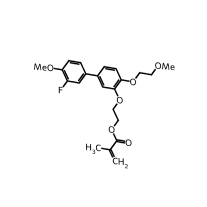 C=C(C)C(=O)OCCOc1cc(-c2ccc(OC)c(F)c2)ccc1OCCOC